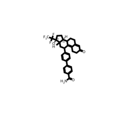 CC12CC(c3ccc(-c4ccc(C(N)=O)cc4)cc3)C3=C4CCC(=O)C=C4CCC3[C@@H]1CC[C@@]2(O)C(F)(F)C(F)(F)F